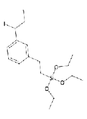 CCO[Si](CCc1cccc(C(I)CC)c1)(OCC)OCC